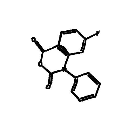 O=c1oc(=O)n(-c2ccccc2)c2cc(F)ccc12